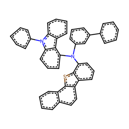 c1ccc(-c2cccc(N(c3cccc4c3sc3c5ccccc5ccc43)c3cccc4c3c3ccccc3n4-c3ccccc3)c2)cc1